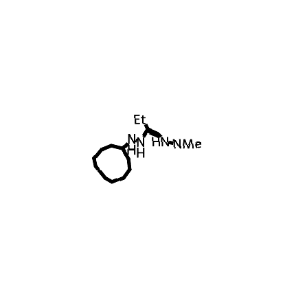 CC/C(=C/NNC)NNC1CCCCCCCCC1